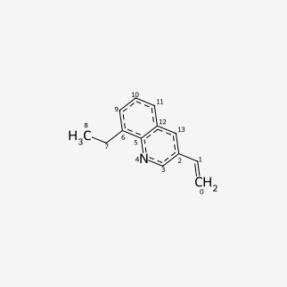 C=Cc1cnc2c(CC)cccc2c1